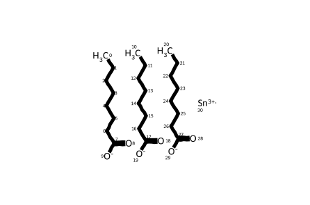 CCCCCCCC(=O)[O-].CCCCCCCC(=O)[O-].CCCCCCCC(=O)[O-].[Sn+3]